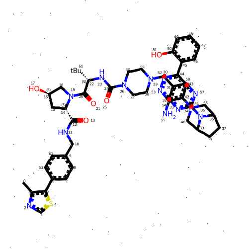 Cc1ncsc1-c1ccc(CNC(=O)[C@@H]2C[C@@H](O)CN2C(=O)[C@@H](NC(=O)N2CCN(Cc3cnc(N4C5CCC4CN(c4cc(-c6ccccc6O)nnc4N)C5)nc3)CC2)C(C)(C)C)cc1